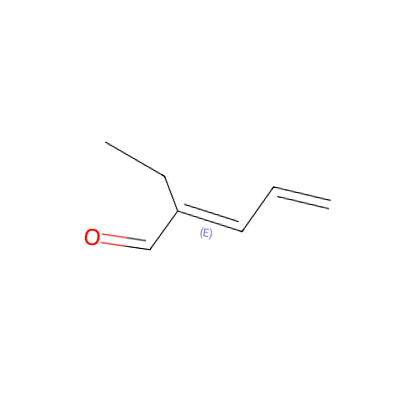 C=C/C=C(/C=O)CC